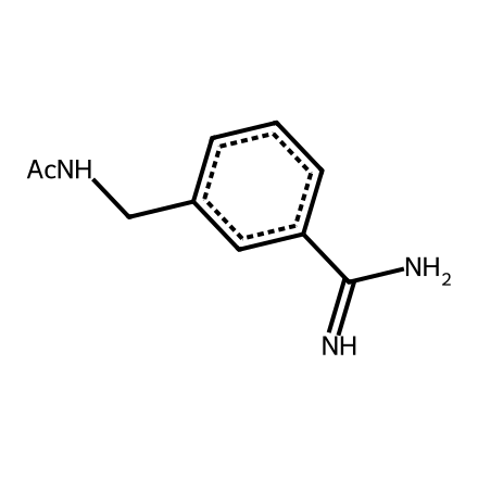 CC(=O)NCc1cccc(C(=N)N)c1